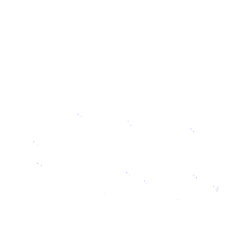 Cc1c[nH]c(CC2CCN(C(=O)c3ccc(-c4ccccc4)cc3)CC2)n1.Cc1c[nH]c(CC2CCN(C(=O)c3ccc(-c4ccccc4F)cc3)CC2)n1.O=C(c1ccc(-c2ccccc2)cc1)N1CCC(Cc2nc(C(F)(F)F)c[nH]2)CC1